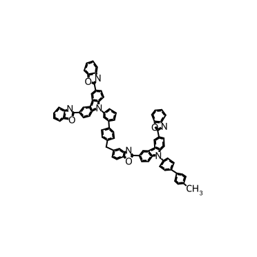 Cc1ccc(-c2ccc(-n3c4ccc(-c5nc6ccccc6o5)cc4c4cc(-c5nc6cc(Cc7ccc(-c8cccc(-n9c%10ccc(-c%11nc%12ccccc%12o%11)cc%10c%10cc(-c%11nc%12ccccc%12o%11)ccc%109)c8)cc7)ccc6o5)ccc43)cc2)cc1